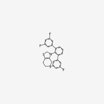 Fc1cc(F)cc(-c2cccc(-c3cc(F)cc(F)c3)c2N2CSC3=C2CCCC3)c1